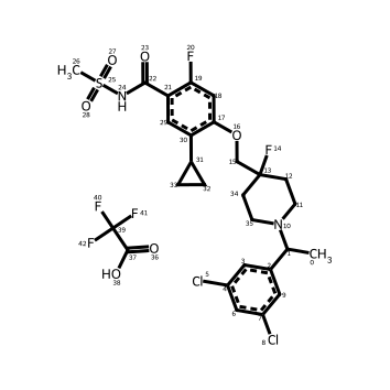 CC(c1cc(Cl)cc(Cl)c1)N1CCC(F)(COc2cc(F)c(C(=O)NS(C)(=O)=O)cc2C2CC2)CC1.O=C(O)C(F)(F)F